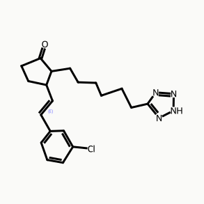 O=C1CCC(/C=C/c2cccc(Cl)c2)C1CCCCCCc1nn[nH]n1